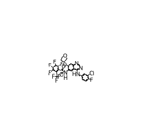 O=S(=O)(Nc1cc2c(Nc3ccc(F)c(Cl)c3)ncnc2cc1OC1CCOC1)c1c(F)c(F)c(F)c(F)c1C(F)(F)F